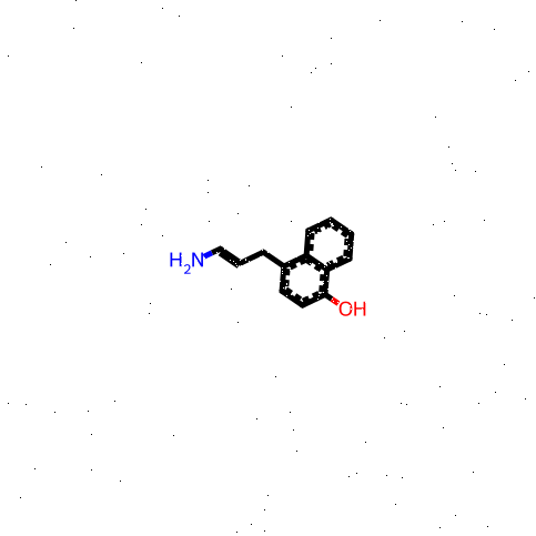 NC=CCc1ccc(O)c2ccccc12